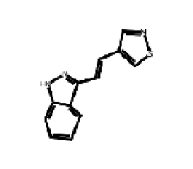 C(=Cc1n[nH]c2ccccc12)c1cnsc1